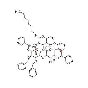 C=CCCCCCCO[C@@H]1OC2COC(c3ccccc3)O[C@H]2[C@H](O[C@@H]2OC3COC(c4ccccc4)O[C@@H]3[C@H](O)C2O[C@@H]2OC(C)[C@@H](OCc3ccccc3)[C@H](OCc3ccccc3)C2OCc2ccccc2)C1N=[N+]=[N-]